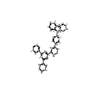 c1ccc(-c2nc(-c3ccccc3)nc(-c3cccc(-c4ccc(-n5c6ccccc6c6ccccc65)nc4)c3)n2)cc1